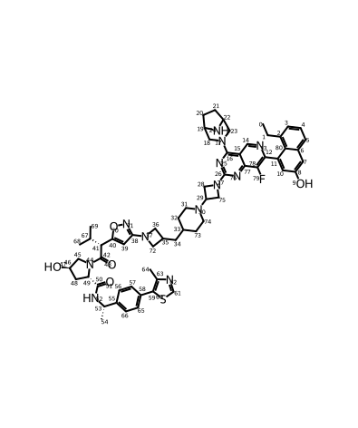 CCc1cccc2cc(O)cc(-c3ncc4c(N5CC6CCC(C5)N6)nc(N5CC(N6CCC(CC7CN(c8cc([C@H](C(=O)N9C[C@H](O)C[C@H]9C(=O)N[C@@H](C)c9ccc(-c%10scnc%10C)cc9)C(C)C)on8)C7)CC6)C5)nc4c3F)c12